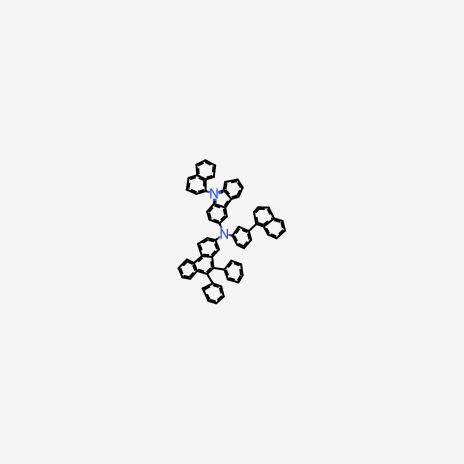 c1ccc(-c2c(-c3ccccc3)c3cc(N(c4cccc(-c5cccc6ccccc56)c4)c4ccc5c(c4)c4ccccc4n5-c4cccc5ccccc45)ccc3c3ccccc23)cc1